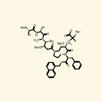 CC[C@H](C)[C@@H]([C@@H](CC(=O)N1CCC[C@H]1[C@H](OC)[C@@H](C)C(=O)N[C@@H](Cc1ccccc1)C(=O)OCc1cccc2ccccc12)OC)N(C)C(=O)[C@@H](NC(=O)[C@@H](NC)C(C)C)C(C)C.O=C([O-])C(F)(F)F.[Na+]